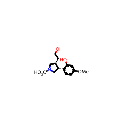 COc1ccc([C@@H]2CN(C(=O)O)C[C@H]2CCO)c(O)c1